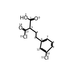 O=C(O)C(CCc1cccc(Cl)c1)C(=O)Cl